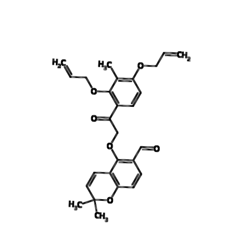 C=CCOc1ccc(C(=O)COc2c(C=O)ccc3c2C=CC(C)(C)O3)c(OCC=C)c1C